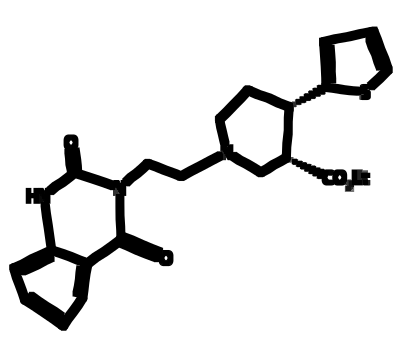 CCOC(=O)[C@@H]1CN(CCn2c(=O)[nH]c3ccccc3c2=O)CC[C@@H]1c1cccs1